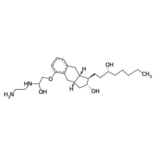 CCCCC[C@@H](O)CC[C@@H]1[C@H]2Cc3cccc(OCC(O)NCCN)c3C[C@H]2C[C@H]1O